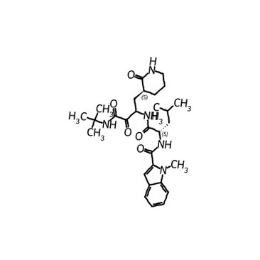 CC(C)C[C@H](NC(=O)c1cc2ccccc2n1C)C(=O)NC(C[C@@H]1CCCNC1=O)C(=O)C(=O)NC(C)(C)C